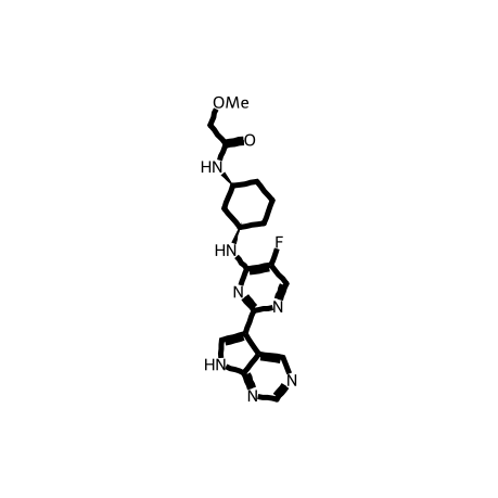 COCC(=O)N[C@H]1CCC[C@@H](Nc2nc(-c3c[nH]c4ncncc34)ncc2F)C1